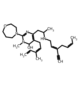 C#C/C(=C/CNC(C)CC1=C(C/C=C(/C)C=C)C(O)N(C)C(N2CCCOCC2)=N1)C/C=C\C